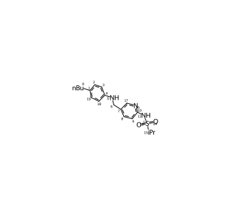 CCCCc1ccc(NCc2ccc(NS(=O)(=O)C(C)C)nc2)cc1